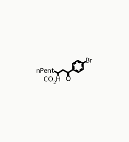 CCCCCC(CC(=O)c1ccc(Br)cc1)C(=O)O